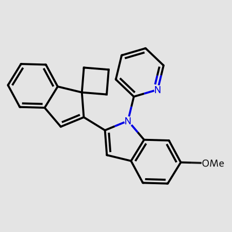 COc1ccc2cc(C3=Cc4ccccc4C34CCC4)n(-c3ccccn3)c2c1